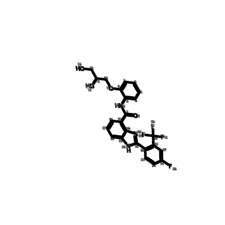 O=C(Nc1ccccc1OCC(O)CO)c1cccc2[nH]c(-c3ccc(F)cc3C(F)(F)F)nc12